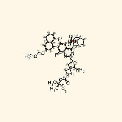 COCOc1cc(-c2c(F)cc3c(C4NCC5CCC4N5C(=O)O)nc(OCC4(C(N)=O)CN(C(=O)OC(C)(C)C)C4)nc3c2F)c2ccccc2c1